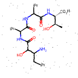 CC(C)CC(N)C(O)C(=O)NC(C(=O)NC(C(=O)N[C@H](C(=O)O)[C@@H](C)O)C(C)C)C(C)C